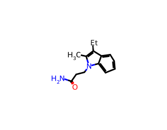 CCc1c(C)n(CCC(N)=O)c2ccccc12